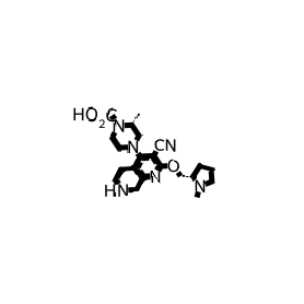 C[C@@H]1CN(c2c(C#N)c(OC[C@@H]3CCCN3C)nc3c2CCNC3)CCN1C(=O)O